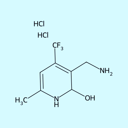 CC1=CC(C(F)(F)F)=C(CN)C(O)N1.Cl.Cl